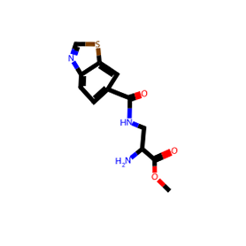 COC(=O)C(N)CNC(=O)c1ccc2ncsc2c1